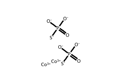 O=P([O-])([O-])[S-].O=P([O-])([O-])[S-].[Co+3].[Co+3]